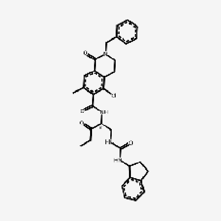 CCC(=O)[C@H](CNC(=O)NC1CCc2ccccc21)NC(=O)c1c(C)cc2c(c1Cl)CCN(Cc1ccccc1)C2=O